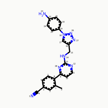 Cc1cc(C#N)ccc1-c1ccnc(NCc2cn(-c3ccc(N)cc3)nn2)n1